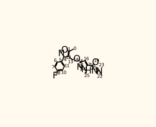 Cc1onc(-c2ccc(F)cc2)c1COc1cc(C(=O)NN(C)C)n(C)n1